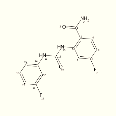 NC(=O)c1ccc(F)cc1NC(=O)Nc1cccc(F)c1